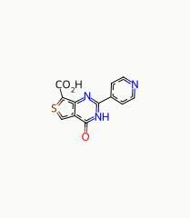 O=C(O)c1scc2c(=O)[nH]c(-c3ccncc3)nc12